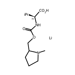 CC(C)[C@H](NC(=O)OCC1CCCN1C)C(=O)O.[Li]